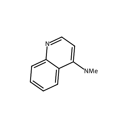 CNc1ccnc2ccccc12